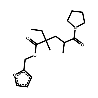 CCC(C)(CC(C)C(=O)N1CCCC1)C(=O)OCc1ccco1